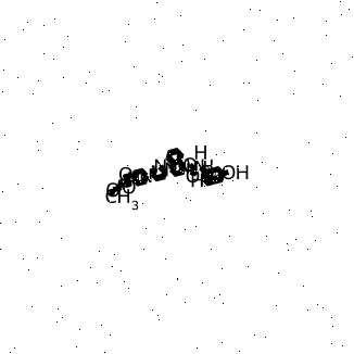 COCCS(=O)(=O)N1CCN(c2ccc(N3CCN(OC(=O)NC4[C@@H]5CC6C[C@H]4CC(O)(C6)C5)c4ccccc43)nc2)CC1